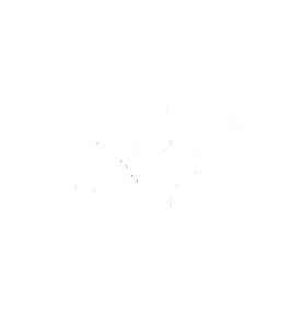 CCC#Cc1cc(F)c2nn(C3CCCCO3)cc2c1F